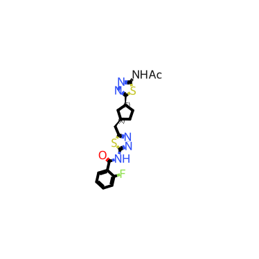 CC(=O)Nc1nnc([C@H]2CC[C@@H](Cc3nnc(NC(=O)c4ccccc4F)s3)C2)s1